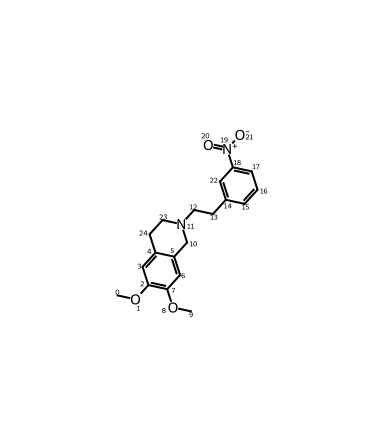 COc1cc2c(cc1OC)CN(CCc1cccc([N+](=O)[O-])c1)CC2